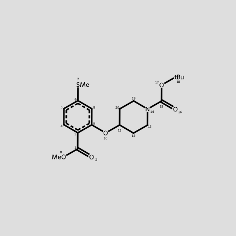 COC(=O)c1ccc(SC)cc1OC1CCN(C(=O)OC(C)(C)C)CC1